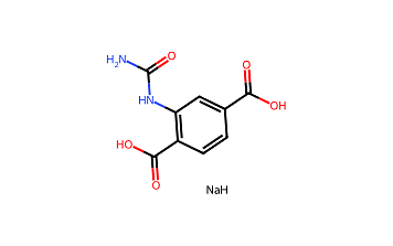 NC(=O)Nc1cc(C(=O)O)ccc1C(=O)O.[NaH]